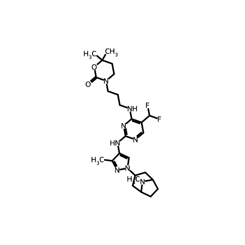 Cc1nn(C2CC3CCC(C2)N3C)cc1Nc1ncc(C(F)F)c(NCCCN2CCC(C)(C)OC2=O)n1